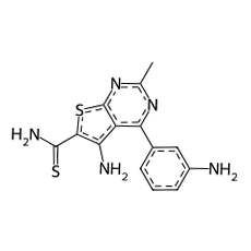 Cc1nc(-c2cccc(N)c2)c2c(N)c(C(N)=S)sc2n1